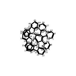 c1cnc(-c2c(-c3ncccn3)c(-n3c4ccccc4c4ccccc43)c(-n3c4ccccc4c4ccccc43)c(-n3c4ccccc4c4ccccc43)c2-c2ncccn2)nc1